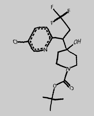 CC(C)(C)OC(=O)N1CCC(O)(C(CC(F)(F)F)c2ccc(Cl)cn2)CC1